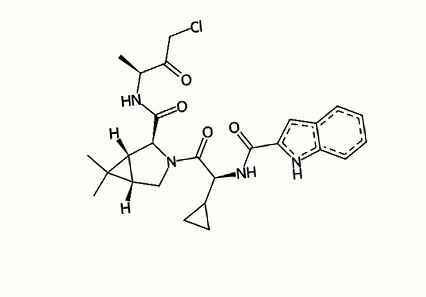 C[C@H](NC(=O)[C@@H]1[C@@H]2[C@H](CN1C(=O)[C@@H](NC(=O)c1cc3ccccc3[nH]1)C1CC1)C2(C)C)C(=O)CCl